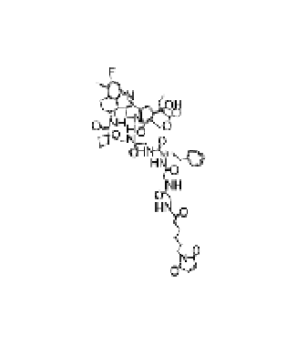 CC[C@@]1(O)C(=O)OCc2c1cc1n(c2=O)Cc2c-1nc1cc(F)c(C)c3c1c2[C@@H](NC(=O)C1(OCNC(=O)CNC(=O)[C@H](CCc2ccccc2)NC(=O)CNC(=O)CNC(=O)CCCCCN2C(=O)C=CC2=O)CCC1)CC3